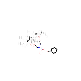 CC(C)(C)[Si](C)(C)OCCN(CCO[Si](C)(C)C(C)(C)C)C(=O)OCc1ccccc1